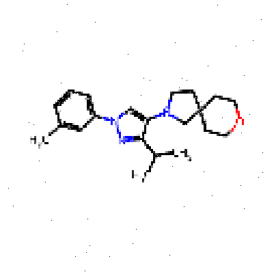 Cc1cccc(-n2cc(N3CCC4(CCOCC4)C3)c(C(C)C)n2)c1